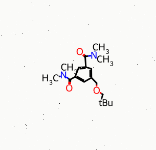 CN(C)C(=O)c1cc(COCC(C)(C)C)cc(C(=O)N(C)C)c1